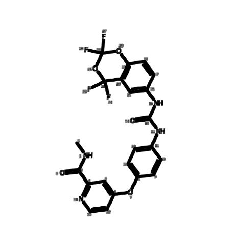 CNC(=O)c1cc(Oc2ccc(NC(=O)Nc3ccc4c(c3)C(F)(F)OC(F)(F)O4)cc2)ccn1